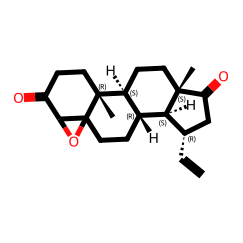 C=C[C@H]1CC(=O)[C@@]2(C)CC[C@H]3[C@@H](CCC45OC4C(=O)CC[C@]35C)[C@H]12